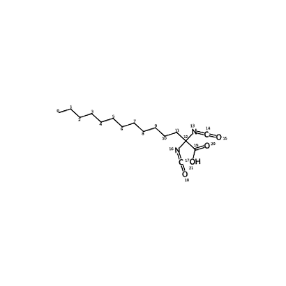 CCCCCCCCCCCCC(N=C=O)(N=C=O)C(=O)O